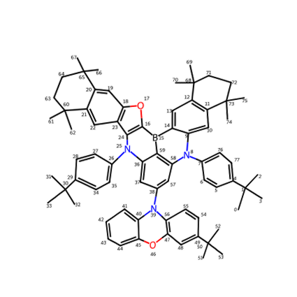 CC(C)(C)c1ccc(N2c3cc4c(cc3B3c5oc6cc7c(cc6c5N(c5ccc(C(C)(C)C)cc5)c5cc(N6c8ccccc8Oc8cc(C(C)(C)C)ccc86)cc2c53)C(C)(C)CCC7(C)C)C(C)(C)CCC4(C)C)cc1